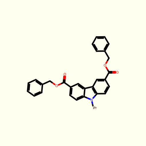 CC(C)n1c2ccc(C(=O)OCc3ccccc3)cc2c2cc(C(=O)OCc3ccccc3)ccc21